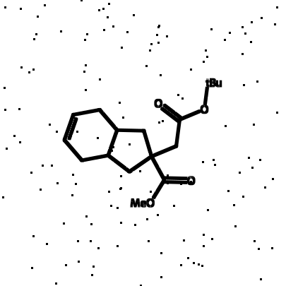 COC(=O)C1(CC(=O)OC(C)(C)C)CC2CC=CCC2C1